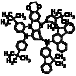 CC(C)(C)c1ccc(N2c3ccc(C(C)(C)C)cc3B3c4cc5c(cc4N4c6ccc(C(C)(C)C)c(c6)C6(C)c7ccccc7-c7c6cc(c6ccccc76)N(c6ccc7c(c6)C(C)(C)c6ccccc6-7)c6cc2c3c4c6)OCCO5)cc1